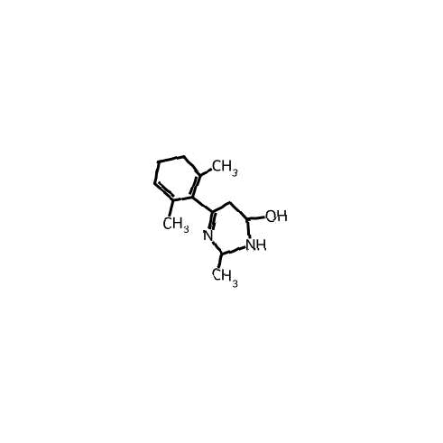 CC1=CCCC(C)=C1C1=NC(C)NC(O)C1